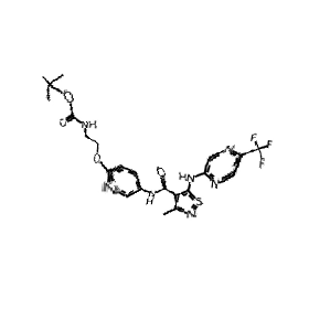 Cc1nsc(Nc2cnc(C(F)(F)F)cn2)c1C(=O)Nc1ccc(OCCNC(=O)OC(C)(C)C)nc1